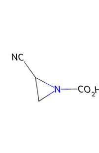 N#CC1CN1C(=O)O